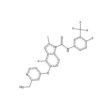 Cc1cc2c(F)c(Oc3ccnc(CO)c3)ccc2n1C(=O)Nc1ccc(F)c(C(F)(F)F)c1